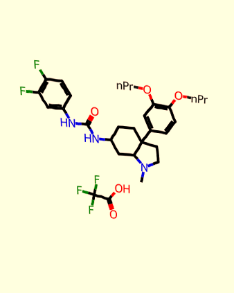 CCCOc1ccc(C23CCC(NC(=O)Nc4ccc(F)c(F)c4)CC2N(C)CC3)cc1OCCC.O=C(O)C(F)(F)F